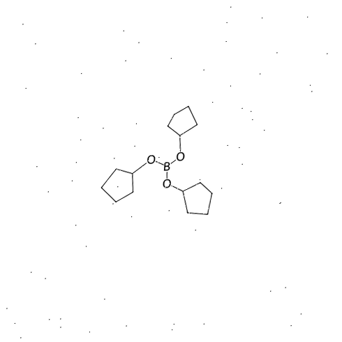 C1CCC(OB(OC2CCCC2)OC2CCCC2)C1